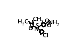 CCCN(CCC)C(=O)c1nc(-c2ccc(Cl)cc2)c(-c2ccc(S(N)(=O)=O)cc2)s1